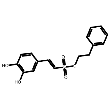 O=S(=O)(/C=C/c1ccc(O)c(O)c1)OCCc1ccccc1